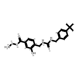 CC(C)(C)c1ccc(CNC(=S)NCc2ccc(C(=O)OSN)cc2O)cc1